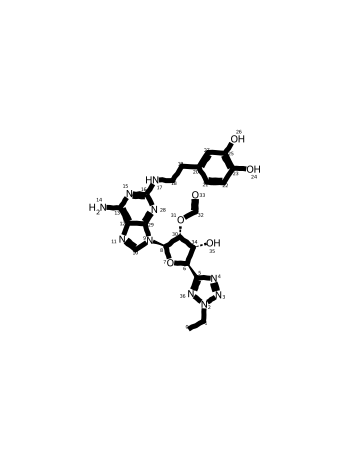 CCn1nnc([C@H]2O[C@@H](n3cnc4c(N)nc(NCCc5ccc(O)c(O)c5)nc43)[C@H](OC=O)[C@@H]2O)n1